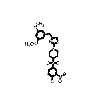 COc1cc(Cc2csc(N3CCC(S(=O)(=O)c4ccc(Cl)c([N+](=O)[O-])c4)CC3)n2)cc(OC)c1